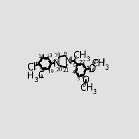 COc1ccc(C(C)N2CCN(c3ccc(Cl)c(C)c3)CC2)cc1OC